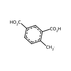 [CH2]c1ccc(C(=O)O)cc1C(=O)O